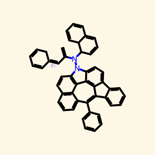 C=C(/C=C1/C=CC=CC1)N(C1C=CC=C2C=CC=CC21)n1c2ccc3c4c2c2c5c(cccc5c(-c5ccccc5)c-4c4ccccc43)ccc21